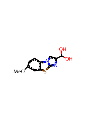 COc1ccc2c(c1)sc1nc(C(O)O)cn12